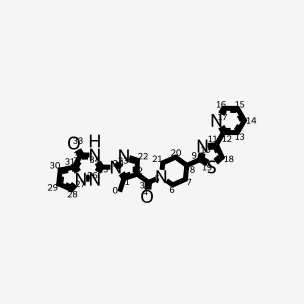 Cc1c(C(=O)N2CCC(c3nc(-c4ccccn4)cs3)CC2)cnn1-c1nn2cccc2c(=O)[nH]1